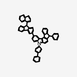 c1ccc(-c2ccc(-n3c4ccc(-c5ccc6c(c5)-c5ccccc5C6c5cccc6ccccc56)cc4c4c5c(ccc43)C(c3ccccc3)c3ccccc3-5)cc2)cc1